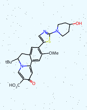 COc1cc2c(cc1-c1cnc(N3CCC(O)CC3)s1)CC(C(C)(C)C)n1cc(C(=O)O)c(=O)cc1-2